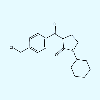 O=C(c1ccc(CCl)cc1)C1CCN(C2CCCCC2)C1=O